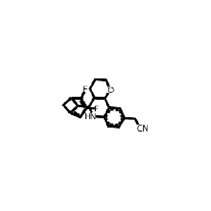 N#CCc1ccc2c(c1)C1OCCCC1C(C1C3=CC(F)=C(F)C1C3)N2